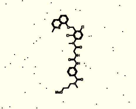 COCCCN(C)C(=O)c1cccc(NC(=O)NCC(=O)N(C)c2ccc(Cl)c(COc3cccc4ccc(C)nc34)c2Cl)c1